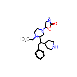 CN1CC(N2CCN(CC(=O)O)C(C(Cc3ccccc3)C3CCNCC3)C2)OC1=O